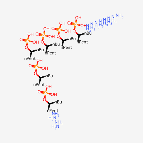 CCCCCC(CCCC)OP(=O)(O)O.CCCCCC(CCCC)OP(=O)(O)O.CCCCCC(CCCC)OP(=O)(O)O.CCCCCC(CCCC)OP(=O)(O)O.CCCCCC(CCCC)OP(=O)(O)O.CCCCCC(CCCC)OP(=O)(O)O.N.N.N.N.N.N.N.N.N.N.N.N